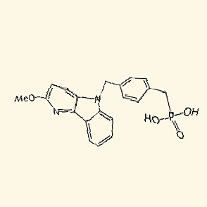 COc1ccc2c(n1)c1ccccc1n2Cc1ccc(CP(=O)(O)O)cc1